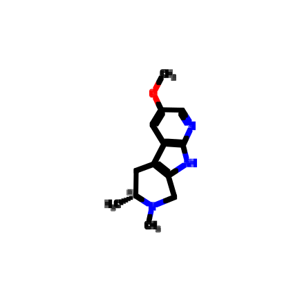 COc1cnc2[nH]c3c(c2c1)C[C@@H](C)N(C)C3